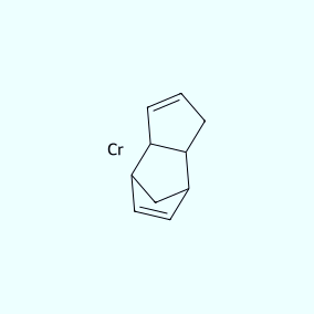 C1=CC2C3C=CC(C3)C2C1.[Cr]